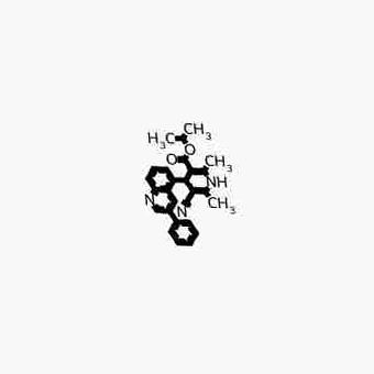 CC1=C(C#N)C(c2cccc3ncc(-c4ccccc4)cc23)C(C(=O)OC(C)C)=C(C)N1